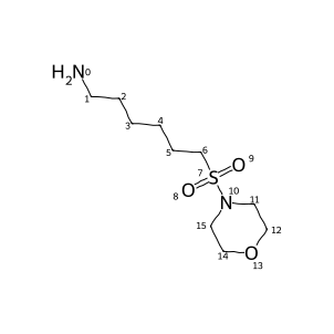 NCCCCCCS(=O)(=O)N1CCOCC1